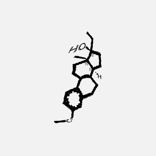 CC[C@]1(O)CC[C@H]2C3=C(CC[C@@]21C)c1ccc(OC)cc1CC3